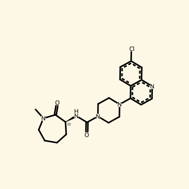 CN1CCCC[C@H](NC(=O)N2CCN(c3ccnc4cc(Cl)ccc34)CC2)C1=O